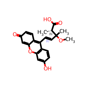 COC(C)(/C=C/c1c2ccc(=O)cc-2oc2cc(O)ccc12)[C@H](C)C(=O)O